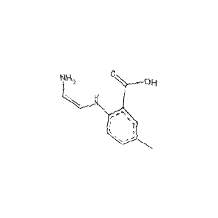 Cc1ccc(N/C=C\N)c(C(=O)O)c1